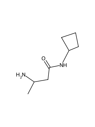 CC(N)CC(=O)NC1CCC1